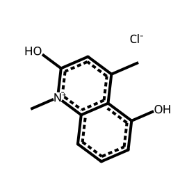 Cc1cc(O)[n+](C)c2cccc(O)c12.[Cl-]